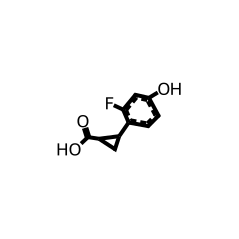 O=C(O)C1CC1c1ccc(O)cc1F